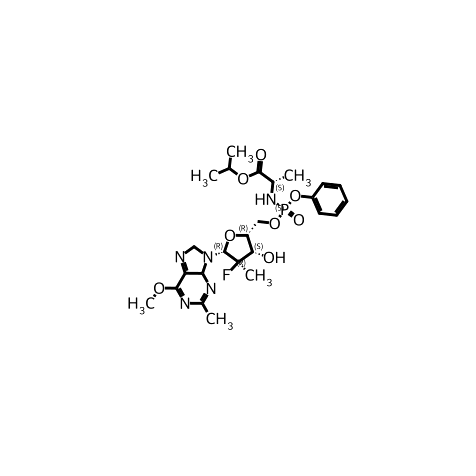 COC1=NC(C)=NC2C1=NCN2[C@@H]1O[C@H](CO[P@@](=O)(N[C@@H](C)C(=O)OC(C)C)Oc2ccccc2)[C@H](O)[C@@]1(C)F